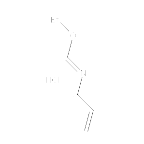 C=CCN=COCC.Cl